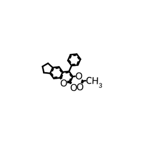 CC(=O)Oc1c(-c2ccccc2)c2cc3c(cc2oc1=O)CCC3